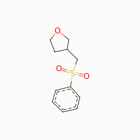 O=S(=O)(CC1CCOC1)c1ccccc1